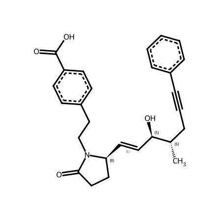 C[C@@H](CC#Cc1ccccc1)[C@H](O)/C=C/[C@H]1CCC(=O)N1CCc1ccc(C(=O)O)cc1